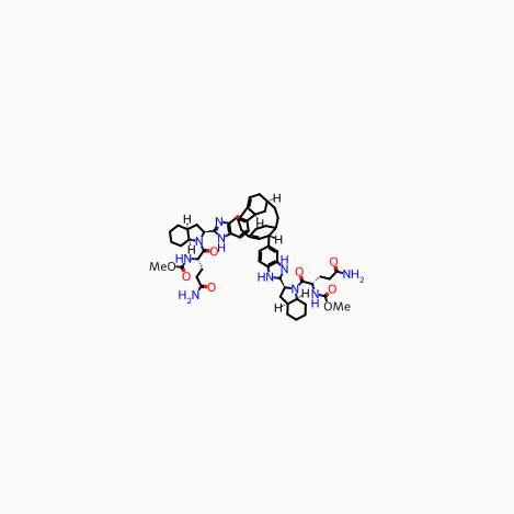 COC(=O)N[C@@H](CCC(N)=O)C(=O)N1[C@H](c2nc3cc([C@@H]4C[C@H]5CC=C4CCC4=C[C@@H](c6ccc7c(c6)NC([C@@H]6C[C@@H]8CCCC[C@@H]8N6C(=O)[C@H](CCC(N)=O)NC(=O)OC)N7)C(CC4)CC5)ccc3[nH]2)C[C@@H]2CCCC[C@@H]21